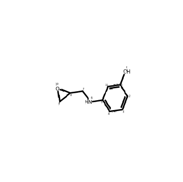 Oc1cccc(NCC2CO2)c1